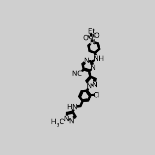 CCS(=O)(=O)N1CCC(Nc2ncc(C#N)c(-c3cnn(-c4ccc(CNc5cnn(C)c5)cc4Cl)c3)n2)CC1